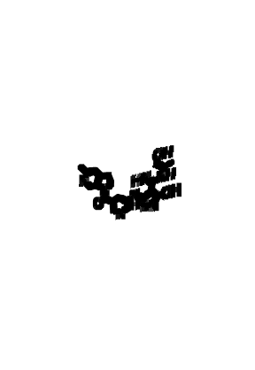 Cc1cc2c(cn1)N(C(=O)c1cncc(Nc3snc(O)c3C(=N)NC(C)CO)c1)CC2